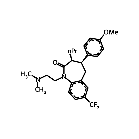 CCC[C@@H]1C(=O)N(CCN(C)C)c2ccc(C(F)(F)F)cc2C[C@@H]1c1ccc(OC)cc1